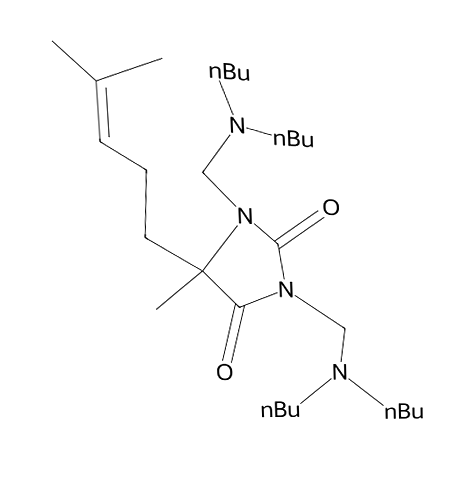 CCCCN(CCCC)CN1C(=O)N(CN(CCCC)CCCC)C(C)(CCC=C(C)C)C1=O